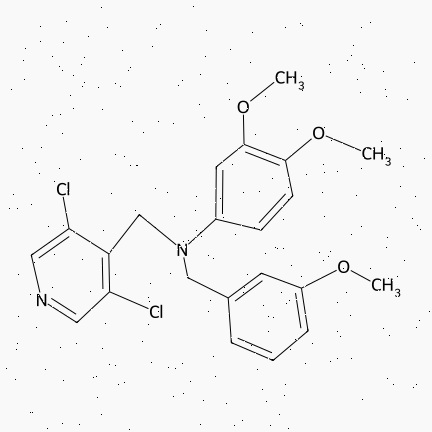 COc1cccc(CN(Cc2c(Cl)cncc2Cl)c2ccc(OC)c(OC)c2)c1